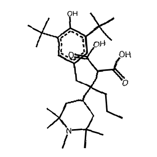 CCCC(Cc1cc(C(C)(C)C)c(O)c(C(C)(C)C)c1)(C1CC(C)(C)N(C)C(C)(C)C1)C(C(=O)O)C(=O)O